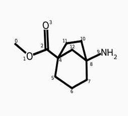 COC(=O)C12CCCC(N)(CC1)C2